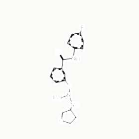 O=C(Nc1ccc(F)cc1)c1cccc(SN(O)NC2CCOC2)c1